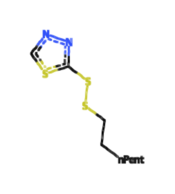 CCCCCCCSSc1nncs1